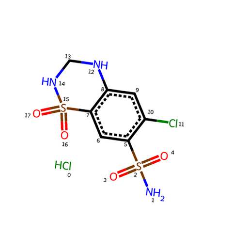 Cl.NS(=O)(=O)c1cc2c(cc1Cl)NCNS2(=O)=O